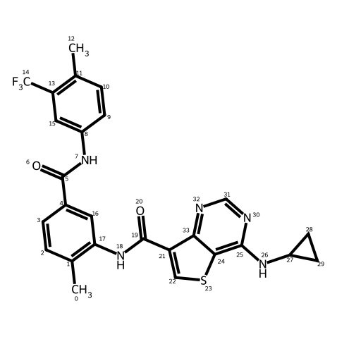 Cc1ccc(C(=O)Nc2ccc(C)c(C(F)(F)F)c2)cc1NC(=O)c1csc2c(NC3CC3)ncnc12